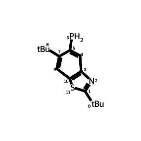 CC(C)(C)c1nc2cc(P)c(C(C)(C)C)cc2s1